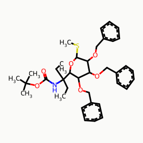 CCC(CC)(NC(=O)OC(C)(C)C)C1OC(SC)C(OCc2ccccc2)C(OCc2ccccc2)C1OCc1ccccc1